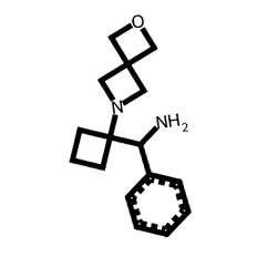 NC(c1ccccc1)C1(N2CC3(COC3)C2)CCC1